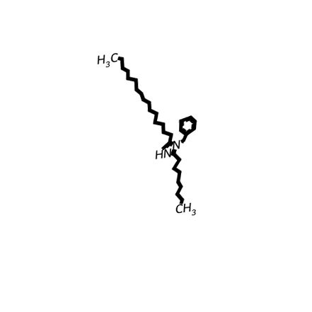 CCCCCCCCCCCCCCCCc1c[nH]c(CCCCCCCC)[n+]1Cc1ccccc1